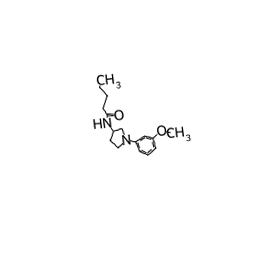 CCCCC(=O)NC1CCN(c2cccc(OC)c2)C1